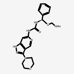 CNCO[C@@H](NC(=O)Nc1cc2[nH]nc(N3CCOCC3)c2cn1)c1ccccc1